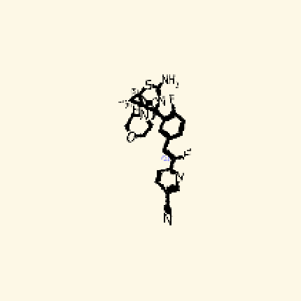 C[C@H]1[C@@H]2[C@@]1(C(=O)N1CCOCC1)SC(N)=N[C@]2(C)c1cc(/C=C(\F)c2ccc(C#N)cn2)ccc1F